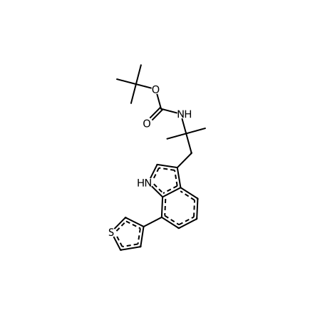 CC(C)(Cc1c[nH]c2c(-c3ccsc3)cccc12)NC(=O)OC(C)(C)C